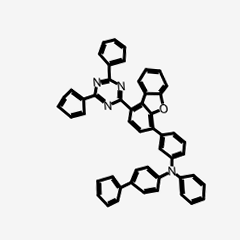 c1ccc(-c2ccc(N(c3ccccc3)c3cccc(-c4ccc(-c5nc(-c6ccccc6)nc(-c6ccccc6)n5)c5c4oc4ccccc45)c3)cc2)cc1